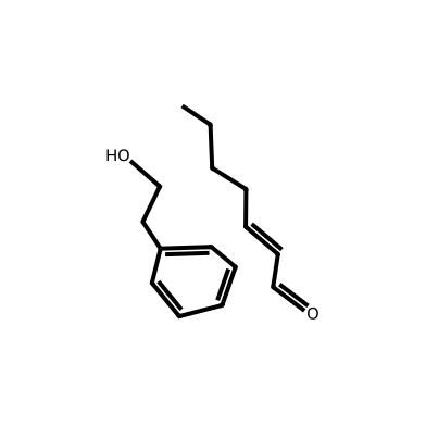 CCCCC=CC=O.OCCc1ccccc1